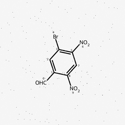 O=Cc1cc(Br)c([N+](=O)[O-])cc1[N+](=O)[O-]